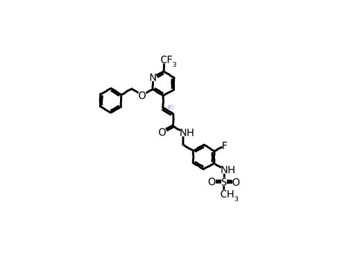 CS(=O)(=O)Nc1ccc(CNC(=O)/C=C/c2ccc(C(F)(F)F)nc2OCc2ccccc2)cc1F